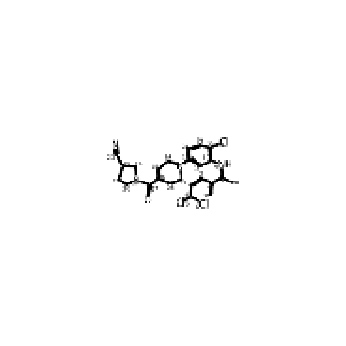 C=C(/C=C\C(Cl)Cl)C(C)Nc1cc(N2CCC(C(=O)N3CCC(C#N)C3)CC2)ccc1Cl